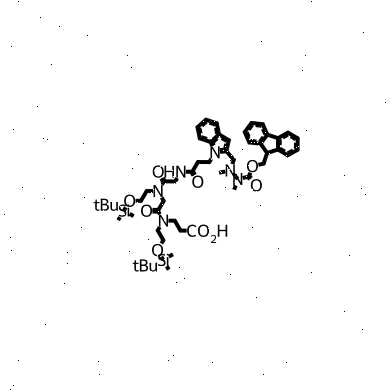 CN(Cc1cc2ccccc2n1CCC(=O)NCC(=O)N(CCO[Si](C)(C)C(C)(C)C)CC(=O)N(CCO[Si](C)(C)C(C)(C)C)CCC(=O)O)N(C)C(=O)OCC1c2ccccc2-c2ccccc21